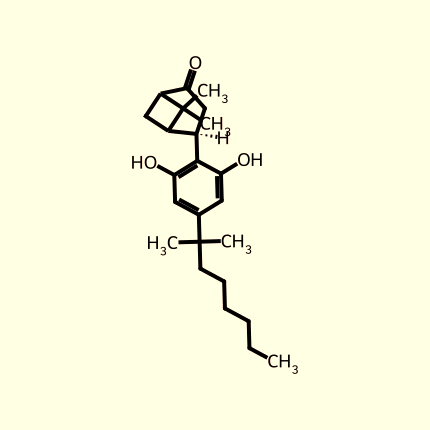 CCCCCCC(C)(C)c1cc(O)c([C@@H]2CC(=O)C3CC2C3(C)C)c(O)c1